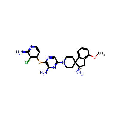 COc1cccc2c1C[C@@H](N)C21CCN(c2cnc(Sc3ccnc(N)c3Cl)c(N)n2)CC1